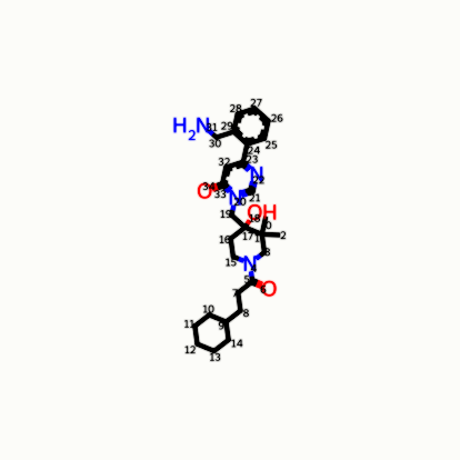 CC1(C)CN(C(=O)CCC2CCCCC2)CCC1(O)Cn1cnc(-c2ccccc2CN)cc1=O